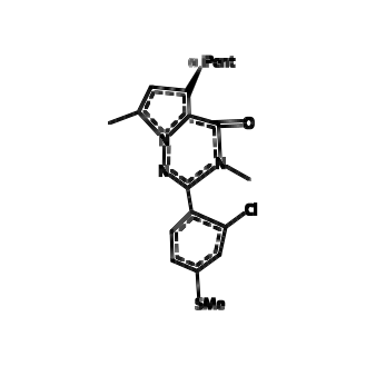 CCC[C@H](C)c1cc(C)n2nc(-c3ccc(SC)cc3Cl)n(C)c(=O)c12